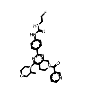 CC1COCCN1c1nc(-c2ccc(NC(=O)NCCF)cc2)nc2c1CCN(C(=O)c1cccnc1)C2